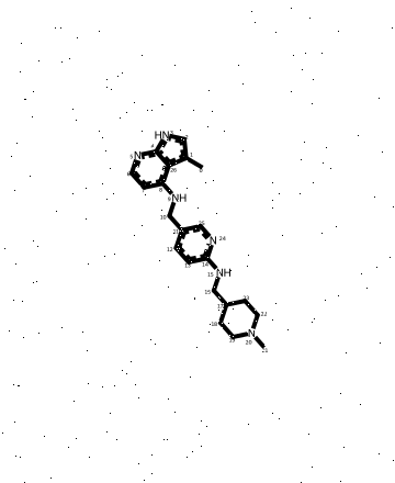 Cc1c[nH]c2nccc(NCc3ccc(NCC4CCN(C)CC4)nc3)c12